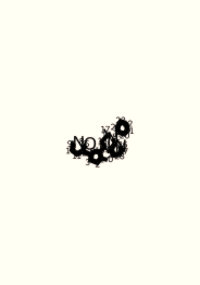 Cc1ccc2c(oc3ncccc32)c1N1C[C@@H](C)N(c2ccccc2)c2ncccc21